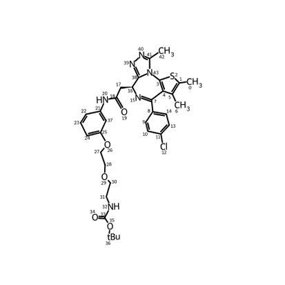 Cc1sc2c(c1C)C(c1ccc(Cl)cc1)=N[C@@H](CC(=O)Nc1cccc(OCCOCCNC(=O)OC(C)(C)C)c1)c1nnc(C)n1-2